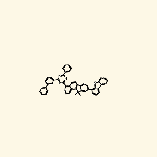 CC1(C)c2cc(-c3cccc4c3sc3ccccc34)ccc2-c2ccc3c(-c4nc(-c5ccccc5)nc(-c5cccc(-c6ccccc6)c5)n4)cccc3c21